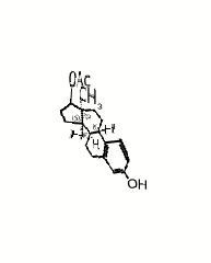 CC(=O)OC1CC[C@H]2[C@@H]3CCc4cc(O)ccc4[C@H]3CC[C@]12C